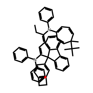 CC/C(=C\C=C(\N(c1ccccc1)c1ccccc1)C1(c2ccc3c(c2)CC3)c2ccccc2-c2ccccc21)N(C1=CC=CC(C)(C(C)(C)C)C=C1)c1ccccc1